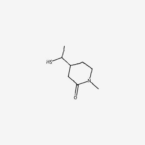 CC(S)C1CCN(C)C(=O)C1